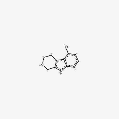 CC(C)c1ccnc2[nH]c3c(c12)CCOC3